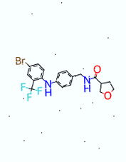 O=C(NCc1ccc(Nc2ccc(Br)cc2C(F)(F)F)cc1)C1CCOC1